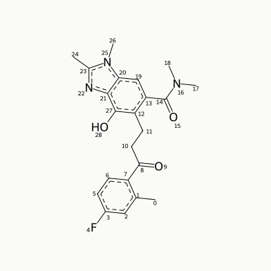 Cc1cc(F)ccc1C(=O)CCc1c(C(=O)N(C)C)cc2c(nc(C)n2C)c1O